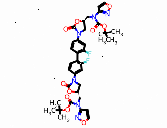 CC(C)(C)OC(=O)N(C[C@H]1CN(c2ccc(-c3ccc(N4C[C@H](CN(C(=O)OC(C)(C)C)c5ccon5)OC4=O)cc3F)c(F)c2)C(=O)O1)c1ccon1